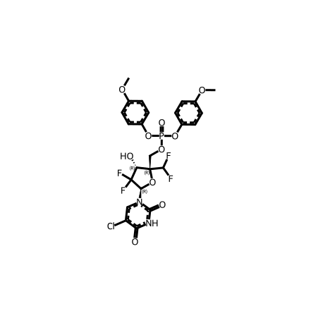 COc1ccc(OP(=O)(OC[C@@]2(C(F)F)O[C@@H](n3cc(Cl)c(=O)[nH]c3=O)C(F)(F)[C@@H]2O)Oc2ccc(OC)cc2)cc1